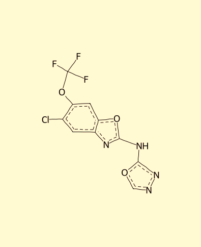 FC(F)(F)Oc1cc2oc(Nc3nnco3)nc2cc1Cl